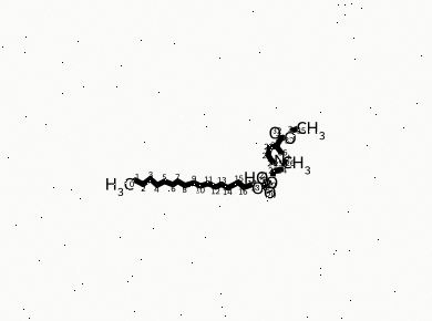 CCCCCCCCCCCCCCCCCCOP(=O)(O)OCC[N+]1(C)CCCC(C(=O)OCC)C1